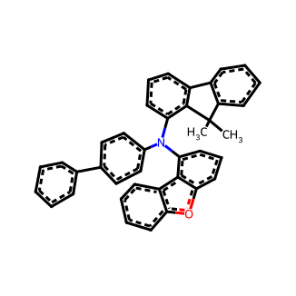 CC1(C)c2ccccc2-c2cccc(N(c3ccc(-c4ccccc4)cc3)c3cccc4oc5ccccc5c34)c21